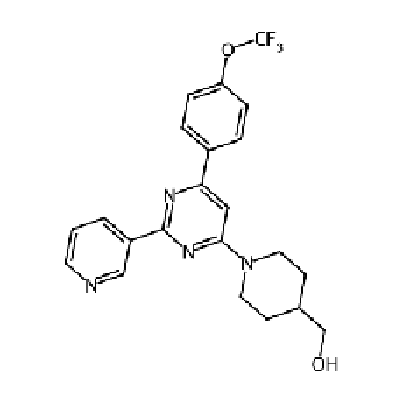 OCC1CCN(c2cc(-c3ccc(OC(F)(F)F)cc3)nc(-c3cccnc3)n2)CC1